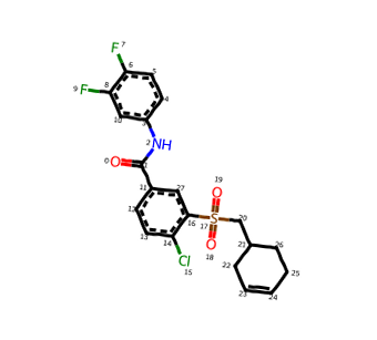 O=C(Nc1ccc(F)c(F)c1)c1ccc(Cl)c(S(=O)(=O)CC2CC=CCC2)c1